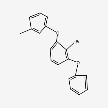 Cc1cccc(Oc2cccc(Oc3ccccc3)c2C(C)(C)C)c1